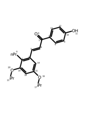 CCCc1c(C=CC(=O)c2ccc(O)cc2)cc(OC(C)C)cc1OC(C)C